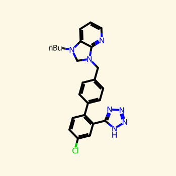 CCCCN1CN(Cc2ccc(-c3ccc(Cl)cc3-c3nnn[nH]3)cc2)c2ncccc21